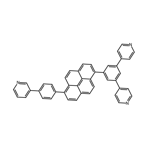 c1cncc(-c2ccc(-c3ccc4ccc5c(-c6cc(-c7ccncc7)cc(-c7ccncc7)c6)ccc6ccc3c4c65)cc2)c1